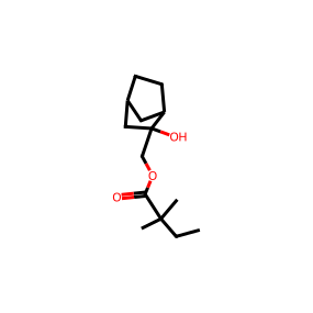 CCC(C)(C)C(=O)OCC1(O)CC2CCC1C2